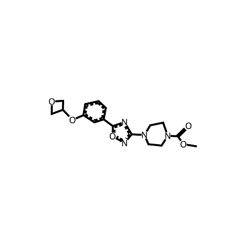 COC(=O)N1CCN(c2noc(-c3cccc(OC4COC4)c3)n2)CC1